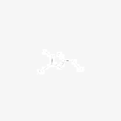 CCOc1cn(CC)c(CC)n1